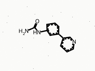 NC(=O)Nc1cccc(-c2cccnc2)c1